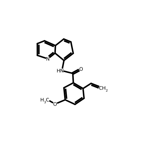 C=Cc1ccc(OC)cc1C(=O)Nc1cccc2cccnc12